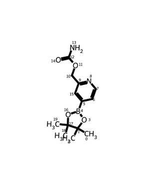 CC1(C)OB(c2ccnc(COC(N)=O)c2)OC1(C)C